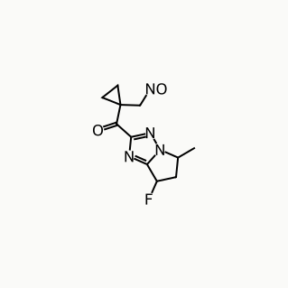 CC1CC(F)c2nc(C(=O)C3(CN=O)CC3)nn21